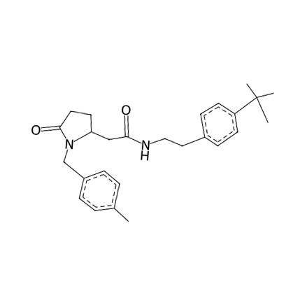 Cc1ccc(CN2C(=O)CCC2CC(=O)NCCc2ccc(C(C)(C)C)cc2)cc1